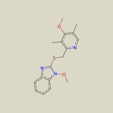 COc1c(C)cnc(CSc2nc3ccccc3n2OC)c1C